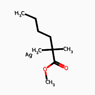 CCCCC(C)(C)C(=O)OC.[Ag]